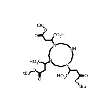 CC(C)(C)OC(=O)CC(C(=O)O)N1CCNCCN(C(CC(=O)OC(C)(C)C)C(=O)O)CCN(C(CC(=O)OC(C)(C)C)C(=O)O)CC1